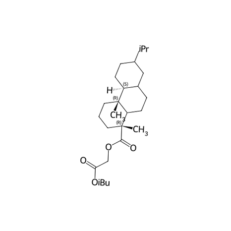 CC(C)COC(=O)COC(=O)[C@]1(C)CCC[C@@]2(C)C1CCC1CC(C(C)C)CC[C@@H]12